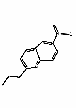 CCCc1ccc2cc([N+](=O)[O-])ccc2n1